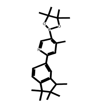 Cc1cc(-c2ccc3c(c2)C(C)C(C)(C)C3(C)C)ncc1B1OC(C)(C)C(C)(C)O1